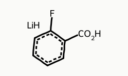 O=C(O)c1ccccc1F.[LiH]